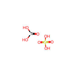 O=S(=O)(O)O.[O]=[Ti]([OH])[OH]